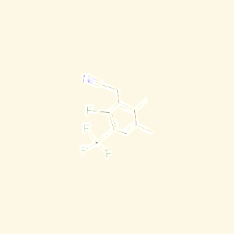 Cc1cc(C(F)(F)F)c(F)c(CC#N)c1C